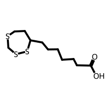 O=C(O)CCCCCCC1CCSCSS1